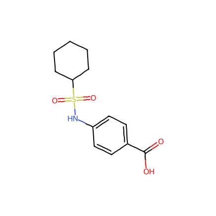 O=C(O)c1ccc(NS(=O)(=O)C2CCCCC2)cc1